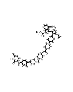 CC(C)n1nc(-c2noc(C3CC3)c2-c2ncc(C3CCN(C(=O)OC4CCC(CN5CCN(c6ccc(NC7CCC(=O)NC7=O)cc6F)CC5)CC4)CC3)cn2)c2c(N)ncnc21